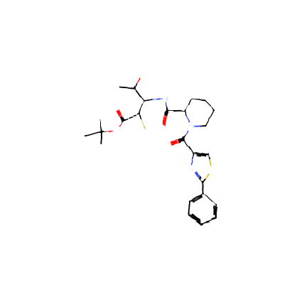 CC(O)C(NC(=O)C1CCCCN1C(=O)c1csc(-c2ccccc2)n1)C(F)C(=O)OC(C)(C)C